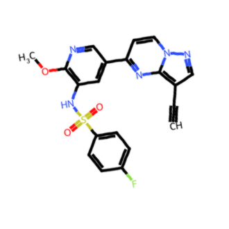 C#Cc1cnn2ccc(-c3cnc(OC)c(NS(=O)(=O)c4ccc(F)cc4)c3)nc12